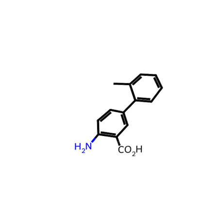 Cc1ccccc1-c1ccc(N)c(C(=O)O)c1